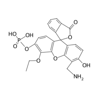 CCOc1c(OP(=O)(O)O)ccc2c1Oc1c(ccc(O)c1CN)C21OC(=O)c2ccccc21